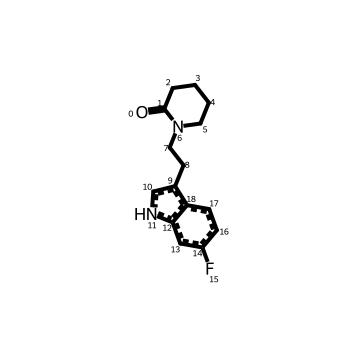 O=C1CCCCN1CCc1c[nH]c2cc(F)ccc12